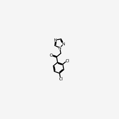 O=C(Cn1cncn1)c1ccc(Cl)cc1Cl